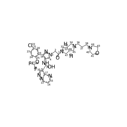 O=C(Cn1cc(NC(O)c2cnn3cccnc23)c(-c2cc(Cl)ccc2OC(F)F)n1)N1C[C@H]2CN(CCCN3CCOCC3)C[C@H]2C1